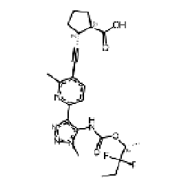 CCC(F)(F)[C@@H](C)OC(=O)Nc1c(-c2ccc(C#C[C@@H]3CCC[C@H]3C(=O)O)c(C)n2)nnn1C